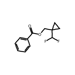 O=C(OCC1(C(F)F)CC1)c1ccccc1